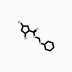 CCC1CC(CC)C(C(=O)OCOC2CCCCC2)C1